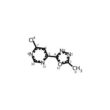 Cc1nnc(-c2cc(Cl)ncn2)o1